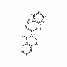 CC1c2ccccc2CCN1C(=O)Nc1ccccc1Br